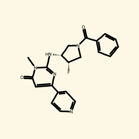 Cn1c(N[C@@H]2CN(C(=O)c3ccccc3)C[C@@H]2F)nc(-c2ccncc2)cc1=O